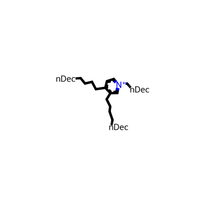 CCCCCCCCCCCCCCc1cc[n+](CCCCCCCCCCC)cc1CCCCCCCCCCCCCC